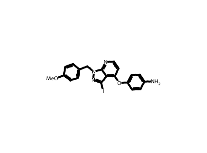 COc1ccc(Cn2nc(I)c3c(Oc4ccc(N)cc4)ccnc32)cc1